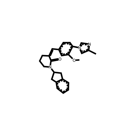 COc1cc(C=C2CCCN(C3Cc4ccccc4C3)C2=O)ccc1-n1cnc(C)c1